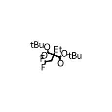 CCC(CC(F)F)(C(=O)OC(C)(C)C)C(=O)OC(C)(C)C